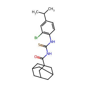 CC(C)c1ccc(NC(=S)NC(=O)C23CC4CC(CC(C4)C2)C3)c(Br)c1